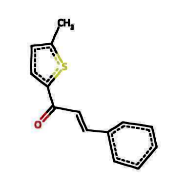 Cc1ccc(C(=O)C=Cc2ccccc2)s1